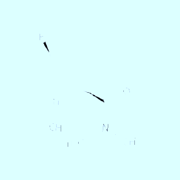 CN(C)C(=O)[C@@H]1C[C@H](F)CN1C